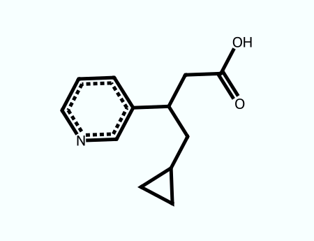 O=C(O)CC(CC1CC1)c1cccnc1